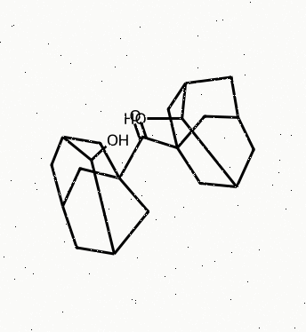 O=C(C12CC3CC(C1)C(O)C(C3)C2)C12CC3CC(C1)C(O)C(C3)C2